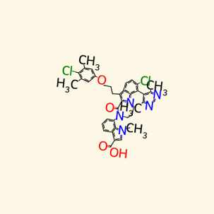 Cc1cc(OCCCc2c3n(c4c(-c5c(C)ncnc5C)c(Cl)ccc24)CCCN(c2cccc4c(C(=O)O)cn(C)c24)C3=O)cc(C)c1Cl